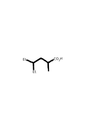 CCC(CC)CC(C)C(=O)O